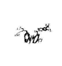 CCN(CCO)Cc1cccc(C(=O)Nc2ccc(Cl)cc2C(=O)N/N=C\c2ccc(Cl)c(C(F)(F)F)c2)c1